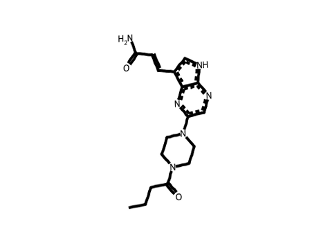 CCCC(=O)N1CCN(c2cnc3[nH]cc(/C=C/C(N)=O)c3n2)CC1